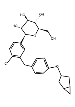 OC[C@H]1O[C@@H](c2ccc(Cl)c(Cc3ccc(OC4CC5CC5C4)cc3)c2)[C@H](O)[C@@H](O)[C@@H]1O